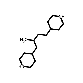 CC(CCC1CCNCC1)CC1CCNCC1